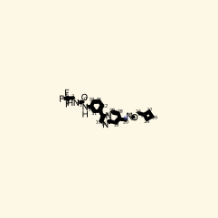 O=C(NCC(F)(F)F)Nc1cccc(-c2cnc3cc(/C=N/OCC4CCC4)ccn23)c1